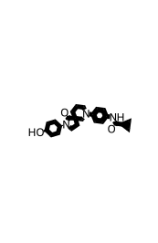 O=C(Nc1ccc(N2CCCC3(CCN([C@H]4CC[C@H](O)CC4)C3=O)C2)cc1)C1CC1